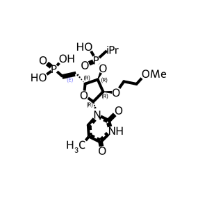 COCCO[C@@H]1[C@H](OP(=O)(O)C(C)C)[C@@H](/C=C/P(=O)(O)O)O[C@H]1n1cc(C)c(=O)[nH]c1=O